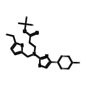 CCc1ccc(CN(CCC(=O)OC(C)(C)C)c2nc(C3CCC(C)CC3)cs2)s1